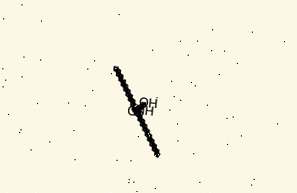 CCCCCCCCCCCCCCCCCCN(NCCO)C(=O)CCCCCCCCCCCCCCCCC